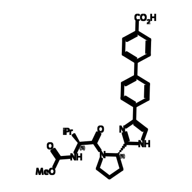 COC(=O)N[C@H](C(=O)N1CCC[C@H]1c1nc(-c2ccc(-c3ccc(C(=O)O)cc3)cc2)c[nH]1)C(C)C